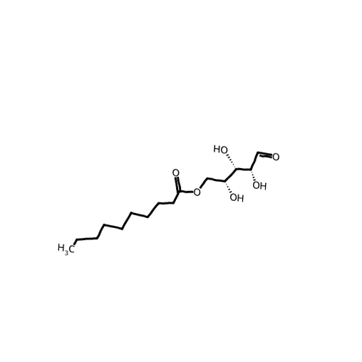 CCCCCCCCCC(=O)OC[C@@H](O)[C@H](O)[C@@H](O)C=O